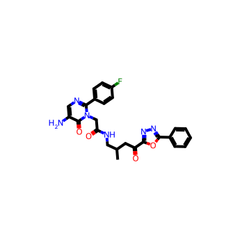 CC(CNC(=O)Cn1c(-c2ccc(F)cc2)ncc(N)c1=O)CC(=O)c1nnc(-c2ccccc2)o1